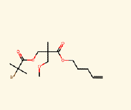 C=CCCCOC(=O)C(C)(COC)COC(=O)C(C)(C)Br